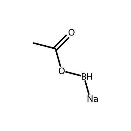 CC(=O)O[BH][Na]